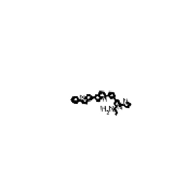 C/C=C(\N)c1cc(-c2cccc(-c3ccc4cc(-c5ccc6nc(-c7ccccc7)ccc6c5)ccc4n3)c2)cc(-c2ccccn2)n1